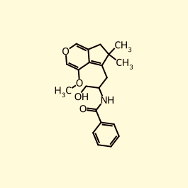 COC1=COC=C2CC(C)(C)C(CC(CO)NC(=O)c3ccccc3)=C21